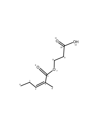 CCC=C(C)C(=O)OCCC(=O)O